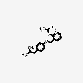 CC(C)Cc1ccc(OCc2cccnc2SC(C)C)cc1